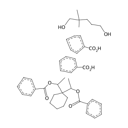 CC(C)(CO)CCCO.CC(OC(=O)c1ccccc1)C1(C(C)OC(=O)c2ccccc2)CCCCC1.O=C(O)c1ccccc1.O=C(O)c1ccccc1